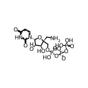 NC[C@]1(COP(=O)(O)OP(=O)(O)OP(=O)(O)O)O[C@@H](n2ccc(=O)[nH]c2=O)[C@H](O)[C@@H]1O